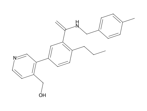 C=C(NCc1ccc(C)cc1)c1cc(-c2cnccc2CO)ccc1CCC